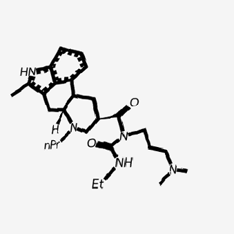 CCCN1C[C@H](C(=O)N(CCCN(C)C)C(=O)NCC)CC2c3cccc4[nH]c(C)c(c34)C[C@H]21